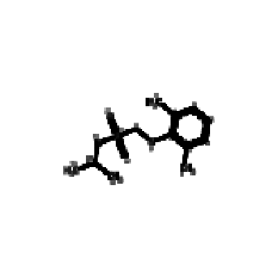 Cc1cccc(C)c1OCS(=O)(=O)OC(C)C